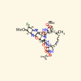 CC[C@@H]1C[C@H](C)CC/C=C\C2C[C@@]2(C(=O)NS(=O)(=O)C2CC2)NC(=O)[C@@H]2C[C@@H](Oc3nc4cc(OC)c(F)cc4nc3C(F)(F)F)CN2C(=O)[C@H]1NC(=O)OC(C)(C)C